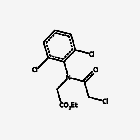 CCOC(=O)CN(C(=O)CCl)c1c(Cl)cccc1Cl